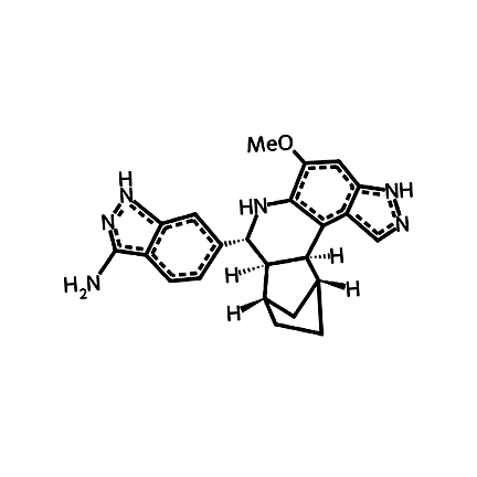 COc1cc2[nH]ncc2c2c1N[C@@H](c1ccc3c(N)n[nH]c3c1)[C@@H]1[C@H]3CC[C@H](C3)[C@H]21